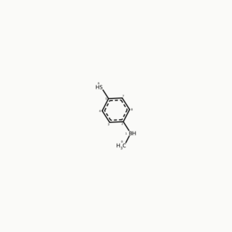 CBc1ccc(S)cc1